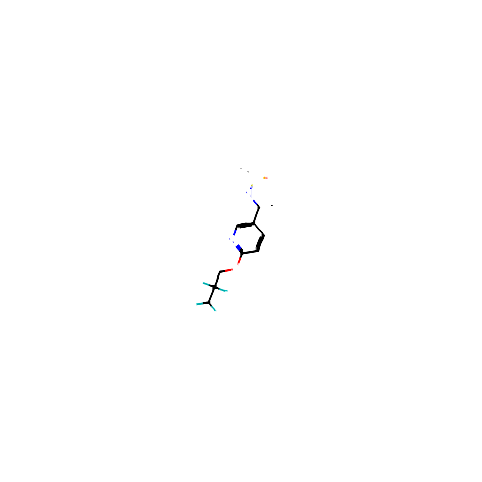 C[C@@H](N[S@+]([O-])C(C)(C)C)c1ccc(OCC(F)(F)C(F)F)nc1